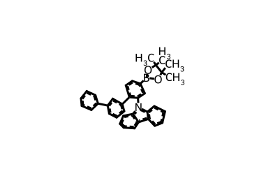 CC1(C)OB(c2ccc(-c3cccc(-c4ccccc4)c3)c(-n3c4ccccc4c4ccccc43)c2)OC1(C)C